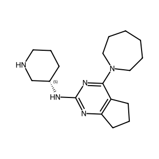 C1CCCN(c2nc(N[C@H]3CCCNC3)nc3c2CCC3)CC1